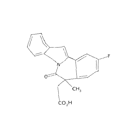 CC1(CC(=O)O)C(=O)n2c(cc3ccccc32)-c2cc(F)ccc21